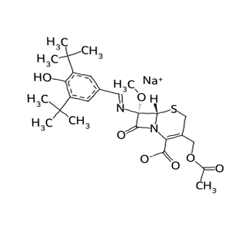 CO[C@@]1(N=Cc2cc(C(C)(C)C)c(O)c(C(C)(C)C)c2)C(=O)N2C(C(=O)[O-])=C(COC(C)=O)CS[C@H]21.[Na+]